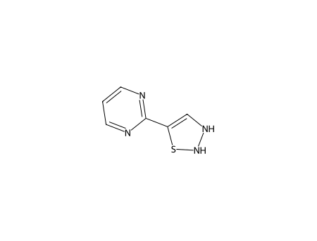 C1=C(c2ncccn2)SNN1